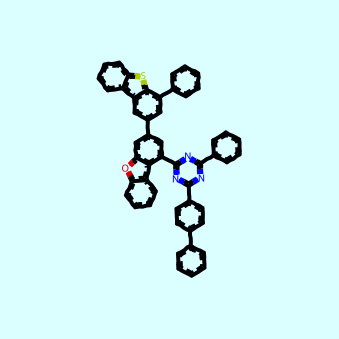 c1ccc(-c2ccc(-c3nc(-c4ccccc4)nc(-c4cc(-c5cc(-c6ccccc6)c6sc7ccccc7c6c5)cc5oc6ccccc6c45)n3)cc2)cc1